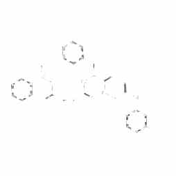 Cc1ccc(C[C@H](NC(=O)C2OC2C(=O)N[C@H](C)c2ccccc2)C(=O)N[C@@H](Cc2ccc(O)cc2)C(N)=O)cc1